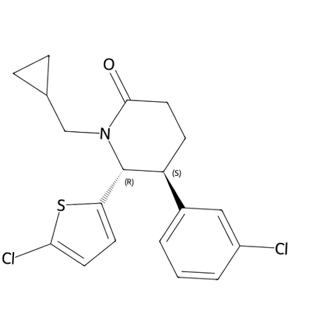 O=C1CC[C@@H](c2cccc(Cl)c2)[C@H](c2ccc(Cl)s2)N1CC1CC1